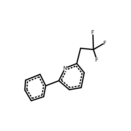 FC(F)(F)Cc1cccc(-c2ccccc2)n1